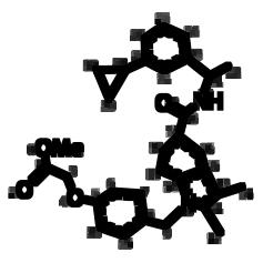 COC(=O)COc1ccc(Cn2c(C)c(C)c3cc(C(=O)NC(C)c4cccc(C5CC5)c4)ccc32)cc1